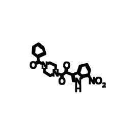 O=C(C(=O)N1CCN(C(=O)c2ccccc2)CC1)c1c[nH]c2c([N+](=O)[O-])cccc12